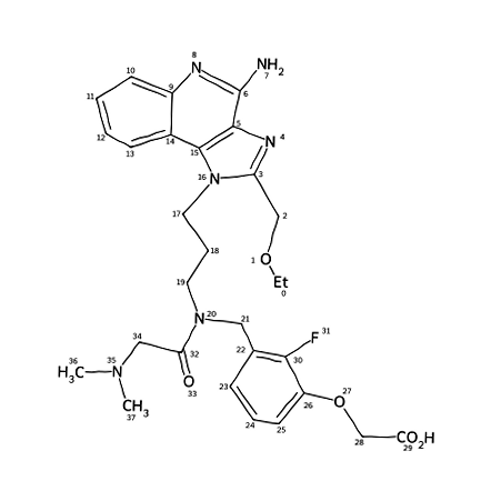 CCOCc1nc2c(N)nc3ccccc3c2n1CCCN(Cc1cccc(OCC(=O)O)c1F)C(=O)CN(C)C